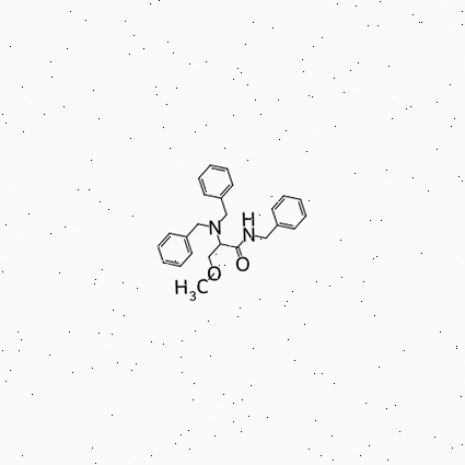 COCC(C(=O)NCc1ccccc1)N(Cc1ccccc1)Cc1ccccc1